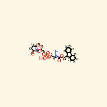 O=C(COP(=O)(O)OCCNC(=O)OCC1c2ccccc2-c2ccccc21)ON1C(=O)CCC1=O